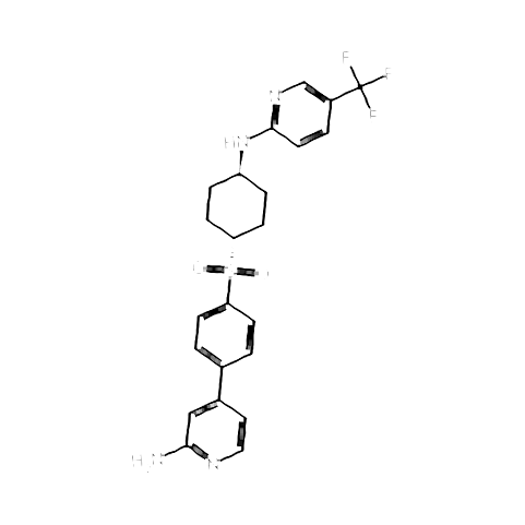 Nc1cc(-c2ccc(S(=O)(=O)[C@H]3CC[C@H](Nc4ccc(C(F)(F)F)cn4)CC3)cc2)ccn1